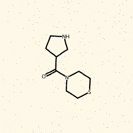 O=C(C1CCNC1)N1CCSCC1